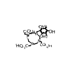 O=C(O)CN1CCN(CC(=O)O)CCN(Cc2c(O)c(I)c(O)c(I)c2O)CCN(CC(=O)O)CC1